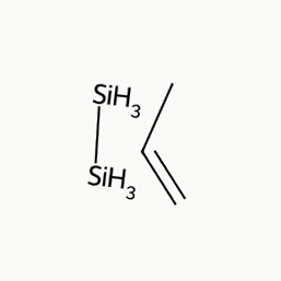 C=CC.[SiH3][SiH3]